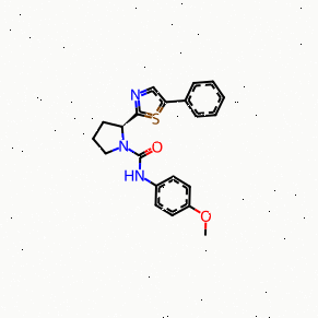 COc1ccc(NC(=O)N2CCC[C@H]2c2ncc(-c3ccccc3)s2)cc1